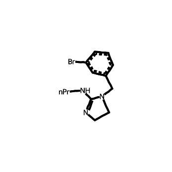 CCCNC1=NCCN1Cc1cccc(Br)c1